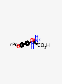 CCCOc1ccc(-c2ccc(C(=O)N[C@@H](CCC(=O)O)C(N)=O)cc2)cc1